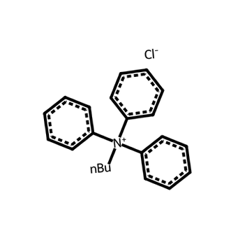 CCCC[N+](c1ccccc1)(c1ccccc1)c1ccccc1.[Cl-]